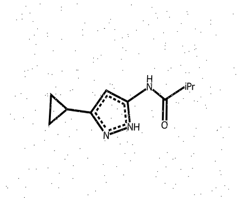 CC(C)C(=O)Nc1cc(C2CC2)n[nH]1